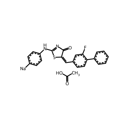 CC(=O)O.O=C1N=C(Nc2cc[c]([Na])cc2)S/C1=C/c1ccc(-c2ccccc2)c(F)c1